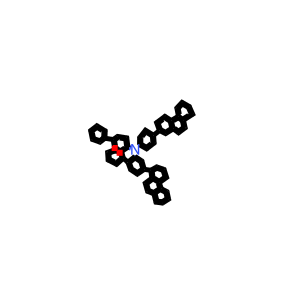 c1ccc(-c2ccc(N(c3ccc(-c4ccc5c(ccc6ccccc65)c4)cc3)c3cc(-c4cccc5c4ccc4ccccc45)ccc3-c3ccccc3)cc2)cc1